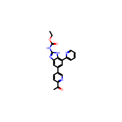 CCOC(=O)Nc1nc2cc(-c3ccc(C(C)=O)nc3)cc(-c3ccccn3)c2[nH]1